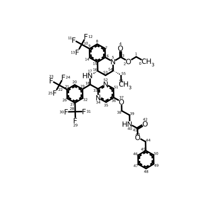 CCOC(=O)N1c2ccc(C(F)(F)F)cc2[C@@H](NC(c2cc(C(F)(F)F)cc(C(F)(F)F)c2)c2ncc(OCCNC(=O)OCc3ccccc3)cn2)C[C@H]1CC